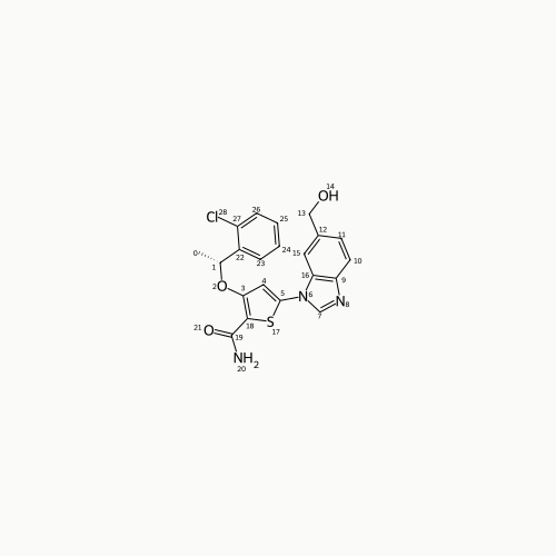 C[C@@H](Oc1cc(-n2cnc3ccc(CO)cc32)sc1C(N)=O)c1ccccc1Cl